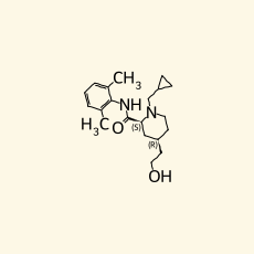 Cc1cccc(C)c1NC(=O)[C@@H]1C[C@H](CCO)CCN1CC1CC1